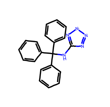 c1ccc(C(NC2=N[N]N=N2)(c2ccccc2)c2ccccc2)cc1